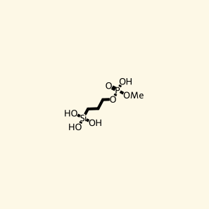 COP(=O)(O)OCCC[Si](O)(O)O